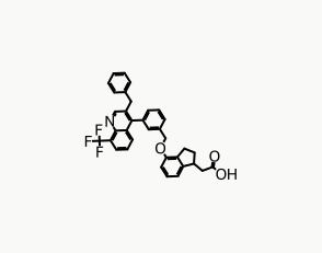 O=C(O)CC1CCc2c(OCc3cccc(-c4c(Cc5ccccc5)cnc5c(C(F)(F)F)cccc45)c3)cccc21